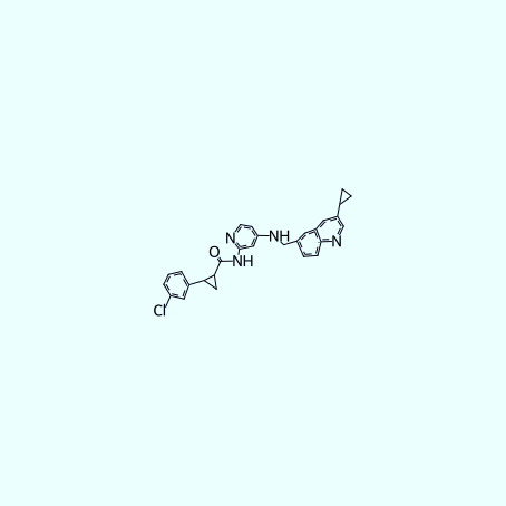 O=C(Nc1cc(NCc2ccc3ncc(C4CC4)cc3c2)ccn1)C1CC1c1cccc(Cl)c1